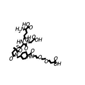 CC1(SCC(NC(=O)CCC(N)C(=O)O)C(=O)NCC(=O)O)CC(=O)N(CC2CCC(C(=O)NCCOCCOCCC(=O)O)CC2)C1=O